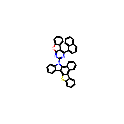 c1ccc2c(-c3nc(-n4c5ccccc5c5c6sc7ccccc7c6c6ccccc6c54)nc4oc5ccccc5c34)cccc2c1